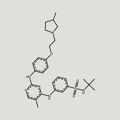 Cc1cnc(Nc2ccc(OCCN3CCC(C)C3)cc2)nc1Nc1cccc(S(=O)(=O)NC(C)(C)C)c1